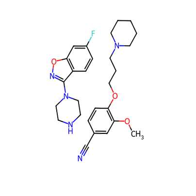 COc1cc(C#N)ccc1OCCCN1CCCCC1.Fc1ccc2c(N3CCNCC3)noc2c1